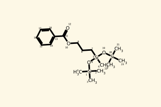 C[Si](C)(C)O[Si](C)(CCCOC(=O)c1ccccc1)O[Si](C)(C)C